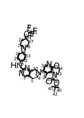 Cc1c(N2CCc3cnc(Nc4ccc(N5CCC(OC(F)(F)F)CC5)cc4)nc3C2)cnc2c1N(C(=O)OC(C)(C)C)CCO2